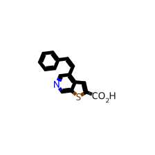 O=C(O)c1cc2c(/C=C\c3ccccc3)cncc2s1